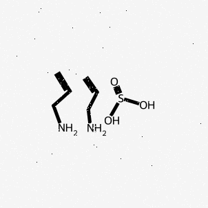 C=CCN.C=CCN.O=S(O)O